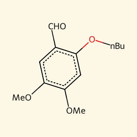 CCCCOc1cc(OC)c(OC)cc1C=O